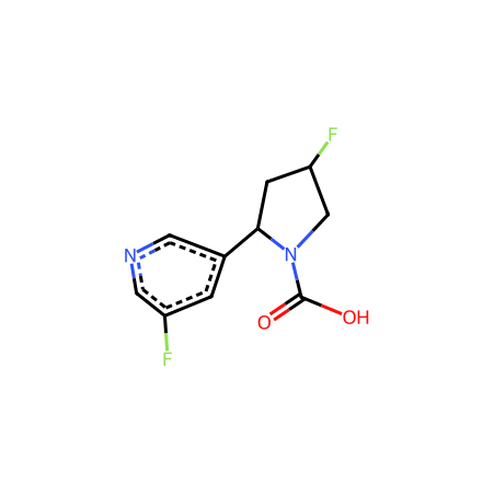 O=C(O)N1CC(F)CC1c1cncc(F)c1